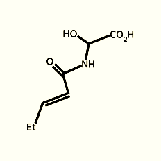 CCC=CC(=O)NC(O)C(=O)O